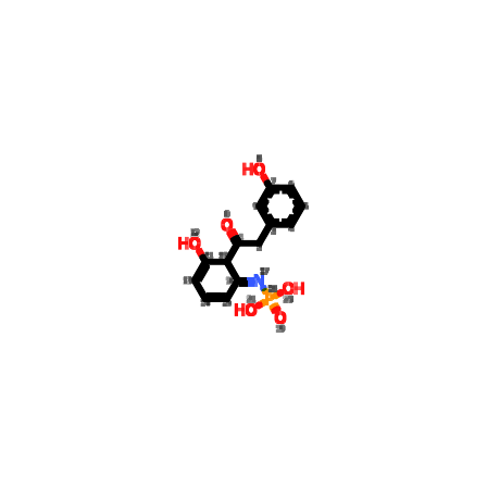 O=C(Cc1cccc(O)c1)C1C(O)=CC=CC1=NP(=O)(O)O